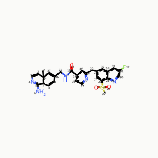 CC12C=CN=C(N)C1C=CC(CNC(=O)c1ccnc(Cc3cc(S(C)(=O)=O)c4ncc(F)cc4c3)c1)=C2